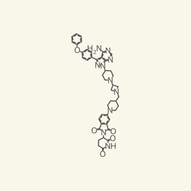 Nc1ncnc2c1c(-c1ccc(Oc3ccccc3)cc1)nn2C1CCN(C2CN(CC3CCN(c4ccc5c(c4)C(=O)N(C4CCC(=O)NC4=O)C5=O)CC3)C2)CC1